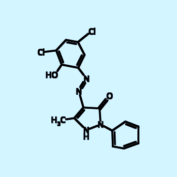 Cc1[nH]n(-c2ccccc2)c(=O)c1N=Nc1cc(Cl)cc(Cl)c1O